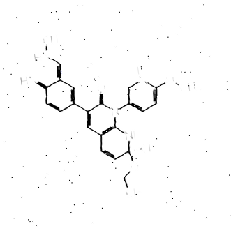 CCO[C@@]1(C)C=Cc2cc(C3=C/C(=C/NC)C(=N)C=C3)c(=O)n(C3=CC=C(OC)NC3)c2N1